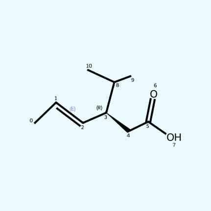 C/C=C/[C@H](CC(=O)O)C(C)C